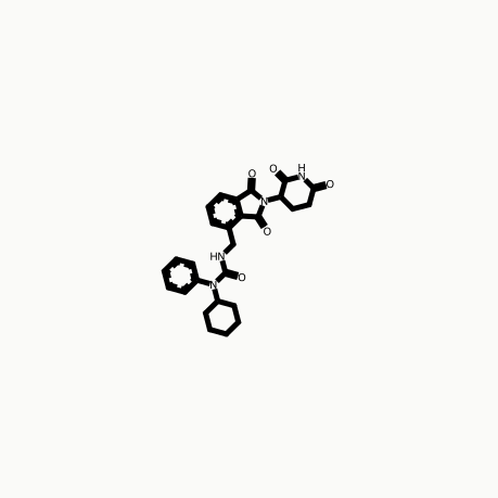 O=C1CCC(N2C(=O)c3cccc(CNC(=O)N(c4ccccc4)C4CCCCC4)c3C2=O)C(=O)N1